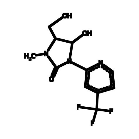 CN1C(=O)N(c2cc(C(F)(F)F)ccn2)C(O)C1CO